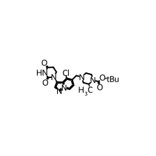 C[C@H]1CN(Cc2ccn3ncc(N4CCC(=O)NC4=O)c3c2Cl)CCN1C(=O)OC(C)(C)C